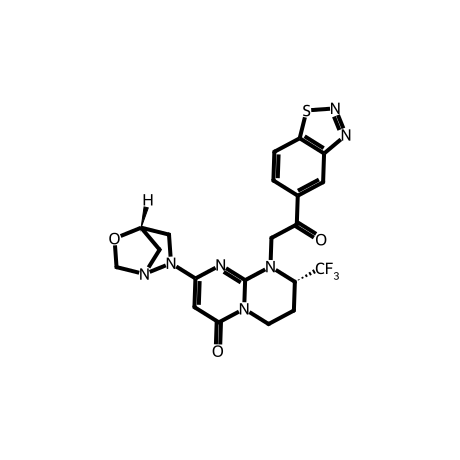 O=C(CN1c2nc(N3C[C@@H]4CN3CO4)cc(=O)n2CC[C@H]1C(F)(F)F)c1ccc2snnc2c1